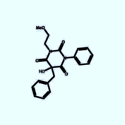 COCCN1C(=O)N(c2ccccc2)C(=O)C(O)(Cc2ccccc2)C1=O